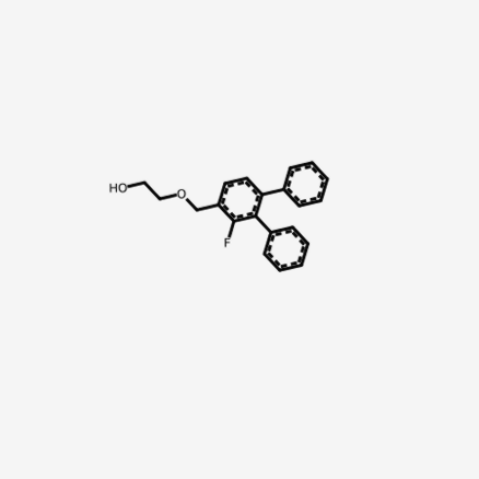 OCCOCc1ccc(-c2ccccc2)c(-c2ccccc2)c1F